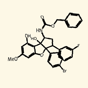 COc1cc(O)c2c(c1)OC1(c3ccc(Br)cc3)C(c3cccc(F)c3)CC(NC(=O)OCc3ccccc3)C21O